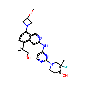 COC1CN(c2ccc([C@H](C)CO)c3cc(Nc4ccnc(N5CC[C@@H](O)[C@@](C)(F)C5)n4)ncc23)C1